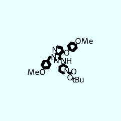 COc1ccc(Cn2nc(N[C@@H]3CCCN(C(=O)OC(C)(C)C)C3)c3c(Oc4ccc(OC)cc4)ccnc32)cc1